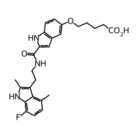 Cc1[nH]c2c(F)ccc(C)c2c1CCNC(=O)c1cc2cc(OCCCCC(=O)O)ccc2[nH]1